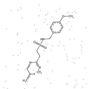 C=C(F)/C=N\C(CCS(=O)(=O)NCc1ccc(OC)cc1)=N/C